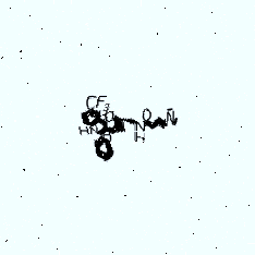 CN(C)CCCC(=O)NC[C@H]1CC[C@@H]2[C@H](O1)c1cc(C(F)(F)F)ccc1N[C@H]2c1ccccc1